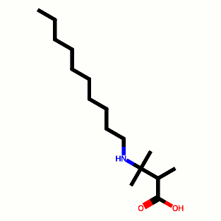 CCCCCCCCCCNC(C)(C)C(C)C(=O)O